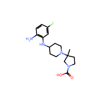 CC1(N2CCC(Nc3cc(F)ccc3N)CC2)CCN(C(=O)O)C1